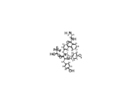 COc1ccc(CCN(Cc2cccc(-c3ccccc3C(=O)NCCN)c2)C(=O)C(N)Cc2ccc(O)cc2)cc1.O=C(O)C(F)(F)F